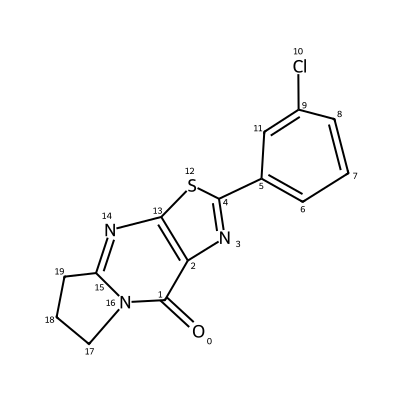 O=c1c2nc(-c3cccc(Cl)c3)sc2nc2n1CCC2